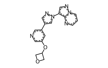 c1cnc2c(-n3cc(-c4cncc(OC5COC5)c4)cn3)cnn2c1